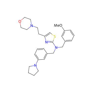 COc1cccc(CN(Cc2cccc(N3CCCC3)c2)c2nc(CCN3CCOCC3)cs2)c1